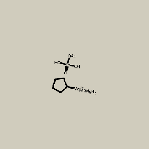 CC(=O)OP(=O)(O)O.[Mg+2][CH]1CCCC1.[MgH2].[MgH2]